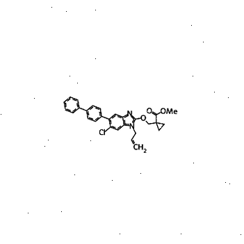 C=CCn1c(OCC2(C(=O)OC)CC2)nc2cc(-c3ccc(-c4ccccc4)cc3)c(Cl)cc21